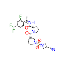 C[C@@H](NC(=O)[C@H]1CCCN1C(=O)[C@H]1CCCN(S(=O)(=O)N2CC(C#N)C2)C1)c1ccc(C(F)F)cc1F